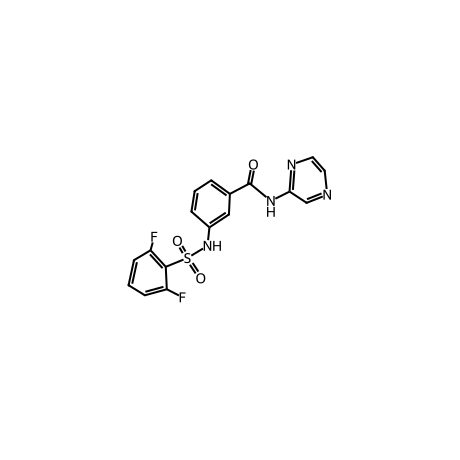 O=C(Nc1cnccn1)c1cccc(NS(=O)(=O)c2c(F)cccc2F)c1